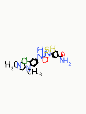 CN1CCC(N(C)c2ccc(NC(=O)N(S)c3ccc(C(N)=O)cc3)cc2Cl)CC1